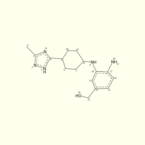 Cc1n[nH]c(C2CCC(Nc3cc(CO)ccc3N)CC2)n1